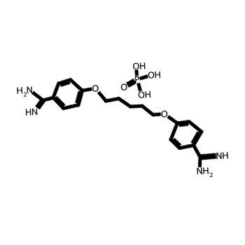 N=C(N)c1ccc(OCCCCCOc2ccc(C(=N)N)cc2)cc1.O=P(O)(O)O